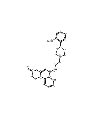 COc1ccccc1N1CCN(CCNN2C=C3C[N+](=O)CCC3C3=CC=CNC32)CC1